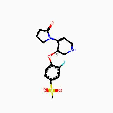 CS(=O)(=O)c1ccc(O[C@@H]2CNCCC2N2CCCC2=O)c(F)c1